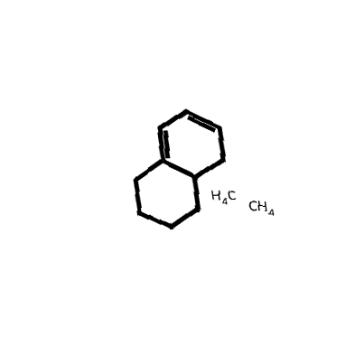 C.C.C1=CCC2CCCCC2=C1